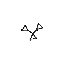 C1OC1C1(N2CC2)CS1